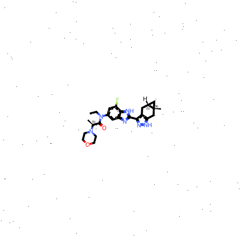 CCN(C(=O)[C@H](C)N1CCOCC1)c1cc(F)c2[nH]c(-c3n[nH]c4c3C[C@@H]3C[C@]3(C)C4)nc2c1